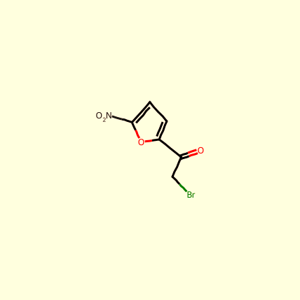 O=C(CBr)c1ccc([N+](=O)[O-])o1